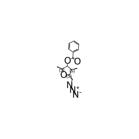 C[C@@H]1O[C@H](CN=[N+]=[N-])[C@H](C)C1OC(=O)c1ccccc1